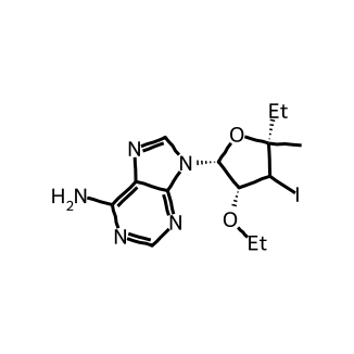 CCO[C@H]1C(I)[C@@](C)(CC)O[C@H]1n1cnc2c(N)ncnc21